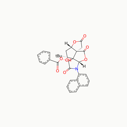 CC(C)(C)[C@]1(O)C[C@@H]2OC(=O)C[C@@]23C(=O)O[C@@H]2N(c4cccc5ccccc45)C(=O)[C@H](OC(=O)c4ccccc4)C213